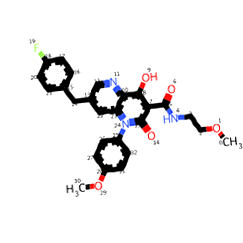 COCCNC(=O)c1c(O)c2ncc(Cc3ccc(F)cc3)cc2n(-c2ccc(OC)cc2)c1=O